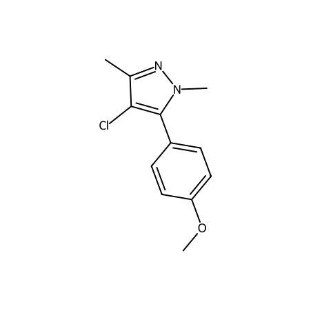 COc1ccc(-c2c(Cl)c(C)nn2C)cc1